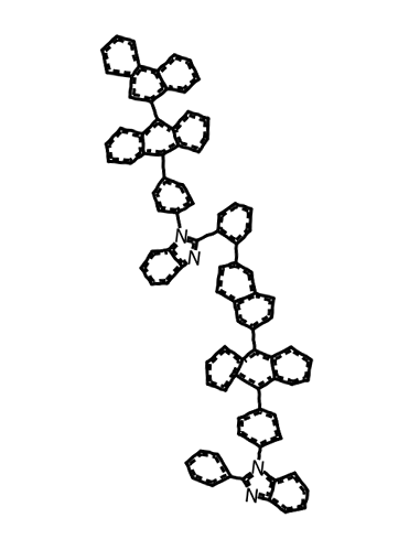 c1ccc(-c2nc3ccccc3n2-c2ccc(-c3c4ccccc4c(-c4ccc5cc(-c6ccccc6-c6nc7ccccc7n6-c6ccc(-c7c8ccccc8c(-c8cc9ccccc9c9ccccc89)c8ccccc78)cc6)ccc5c4)c4ccccc34)cc2)cc1